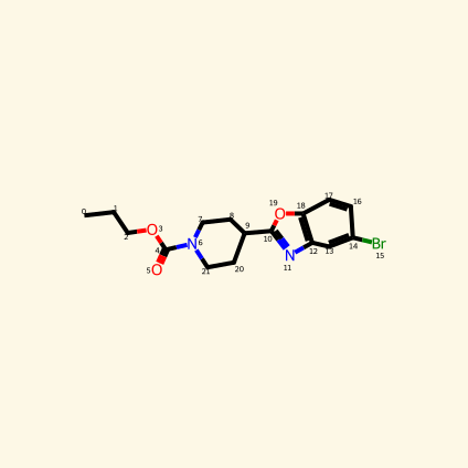 CCCOC(=O)N1CCC(c2nc3cc(Br)ccc3o2)CC1